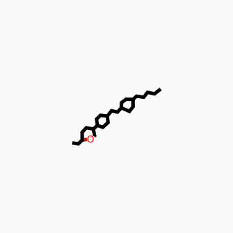 CCCCCC1CCC(CCC2CCC(C3CCC(CC)OC3)CC2)CC1